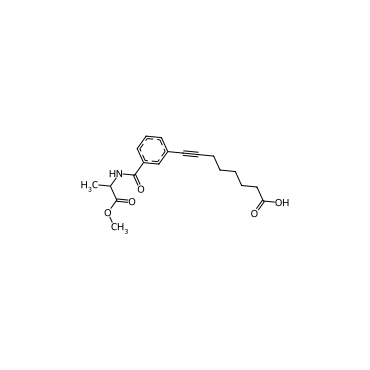 COC(=O)C(C)NC(=O)c1cccc(C#CCCCCCC(=O)O)c1